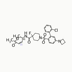 C[C@H](/C=C\S(C)(=O)=O)NC(=O)C1(F)CCN(S(=O)(=O)c2ccc(N3CCC3)cc2-c2ccccc2Cl)CC1